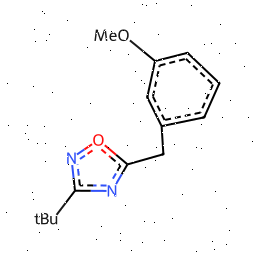 COc1cccc(Cc2nc(C(C)(C)C)no2)c1